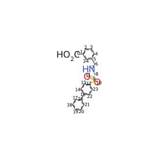 O=C(O)c1cccc(CNCS(=O)(=O)c2ccc(-c3ccccc3)cc2)c1